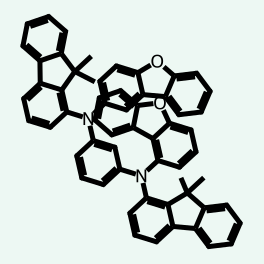 CC1(C)c2ccccc2-c2cccc(N(c3cccc(N(c4cccc5c4C(C)(C)c4ccccc4-5)c4cccc5oc6ccccc6c45)c3)c3ccc4oc5ccccc5c4c3)c21